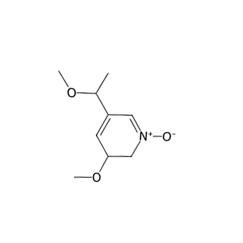 COC1C=C(C(C)OC)C=[N+]([O-])C1